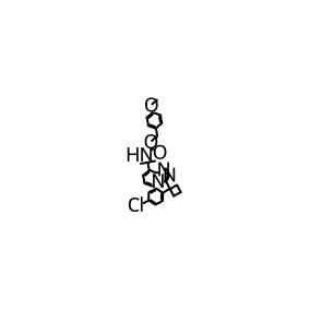 COc1ccc(COC(=O)NC(C)(C)c2cccn3c(C4(c5ccc(Cl)cc5)CCC4)nnc23)cc1